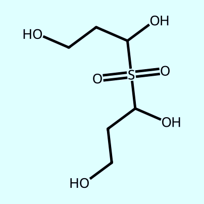 O=S(=O)(C(O)CCO)C(O)CCO